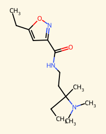 CCc1cc(C(=O)NCCC(C)(CC)N(C)C)no1